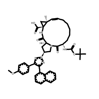 COc1ccc(-c2nn([C@H]3C[C@H]4C(=O)N[C@]5(C(=O)O)C[C@H]5/C=C\CCCCC[C@H](NC(=O)OC(C)(C)C)C(=O)N4C3)nc2-c2cccc3ccccc23)cc1